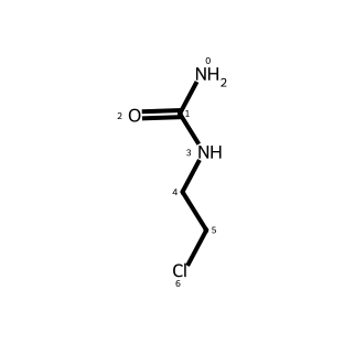 NC(=O)NCCCl